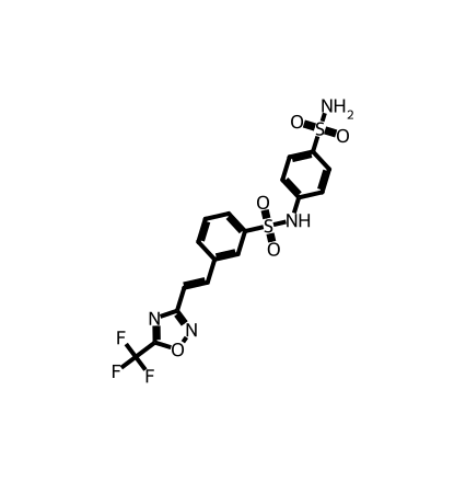 NS(=O)(=O)c1ccc(NS(=O)(=O)c2cccc(/C=C/c3noc(C(F)(F)F)n3)c2)cc1